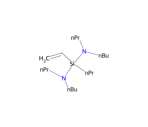 C=C[Si](CCC)(N(CCC)CCCC)N(CCC)CCCC